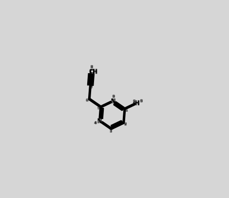 [2H]c1ccnc(CC#C)n1